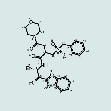 CC[C@H](NC(=O)C(CC(=O)N1CCOCC1)CS(=O)(=O)Cc1ccccc1)C(=O)c1nc2ccccc2o1